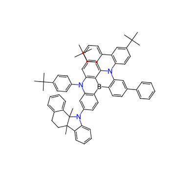 CC(C)(C)c1ccc(N2c3cc(N4c5ccccc5C5(C)CCc6ccccc6C45C)ccc3B3c4ccc(-c5ccccc5)cc4N(c4ccc(C(C)(C)C)cc4-c4ccccc4)c4cc(C(C)(C)C)cc2c43)cc1